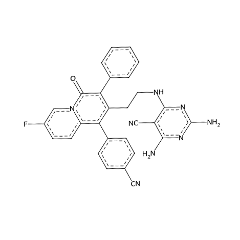 N#Cc1ccc(-c2c(CCNc3nc(N)nc(N)c3C#N)c(-c3ccccc3)c(=O)n3cc(F)ccc23)cc1